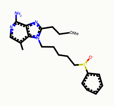 COCCc1nc2c(N)ncc(C)c2n1CCCCC[S+]([O-])c1ccccc1